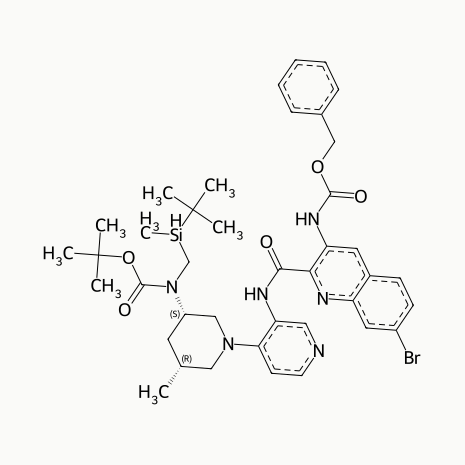 C[C@@H]1C[C@H](N(C[SiH](C)C(C)(C)C)C(=O)OC(C)(C)C)CN(c2ccncc2NC(=O)c2nc3cc(Br)ccc3cc2NC(=O)OCc2ccccc2)C1